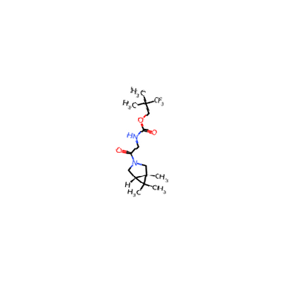 CC(C)(COC(=O)NCC(=O)N1C[C@H]2C(C)(C)[C@@]2(C)C1)C(F)(F)F